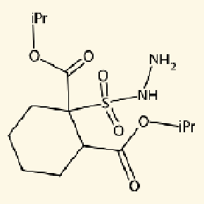 CC(C)OC(=O)C1CCCCC1(C(=O)OC(C)C)S(=O)(=O)NN